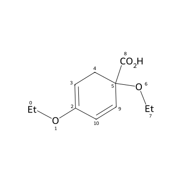 CCOC1=CCC(OCC)(C(=O)O)C=C1